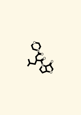 CC(C)CC(CC(=O)N1CCOCC1)C(=O)N1CCC2OCC(=O)C21